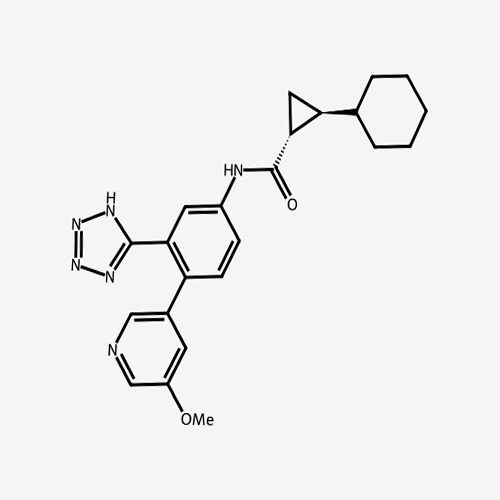 COc1cncc(-c2ccc(NC(=O)[C@@H]3C[C@H]3C3CCCCC3)cc2-c2nnn[nH]2)c1